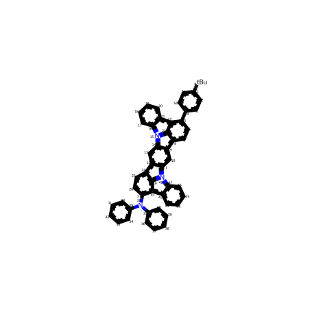 CC(C)(C)c1ccc(-c2ccc3c4cc5c(cc4n4c6ccccc6c2c34)c2ccc(N(c3ccccc3)c3ccccc3)c3c4ccccc4n5c23)cc1